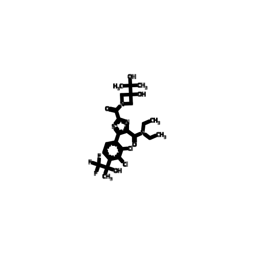 CCN(CC)C(=O)c1nc(C(=O)N2CC(O)(C(C)(C)O)C2)sc1-c1ccc(C(C)(O)C(F)(F)F)c(Cl)c1Cl